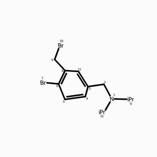 CC(C)N(Cc1ccc(Br)c(CBr)c1)C(C)C